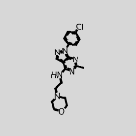 Cc1nc(NCCN2CCOCC2)c2cnn(-c3ccc(Cl)cc3)c2n1